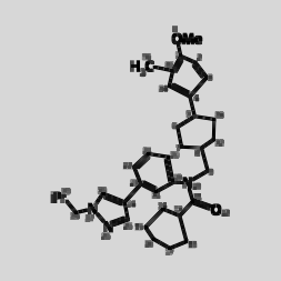 COc1ccc(C2CCC(CN(C(=O)C3CCCCC3)c3cccc(-c4cnn(CC(C)C)c4)c3)CC2)cc1C